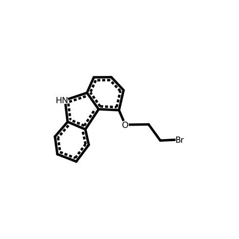 BrCCOc1cccc2[nH]c3ccccc3c12